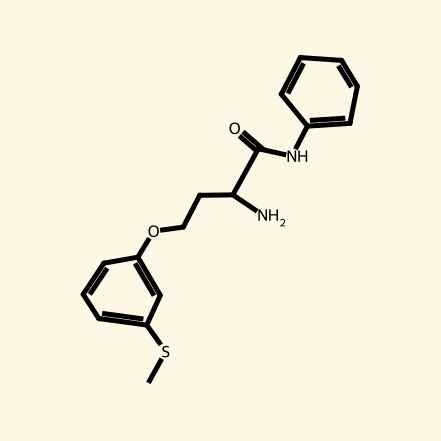 CSc1cccc(OCCC(N)C(=O)Nc2ccccc2)c1